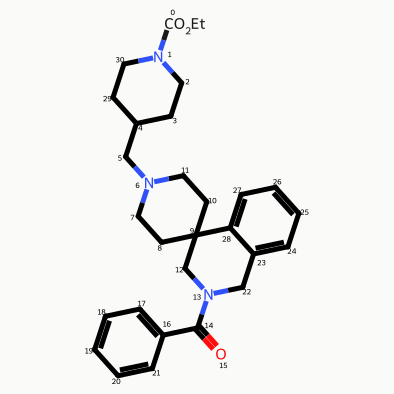 CCOC(=O)N1CCC(CN2CCC3(CC2)CN(C(=O)c2ccccc2)Cc2ccccc23)CC1